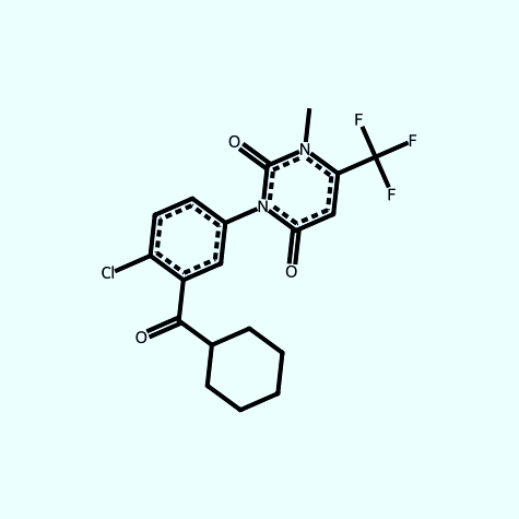 Cn1c(C(F)(F)F)cc(=O)n(-c2ccc(Cl)c(C(=O)C3CCCCC3)c2)c1=O